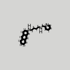 c1ccc(CNCCCCNc2ccc3cc4ccccc4cc3c2)nc1